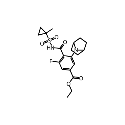 CCOC(=O)c1cc(F)c(C(=O)NS(=O)(=O)C2(C)CC2)c(N2C3CCC2CC3)c1